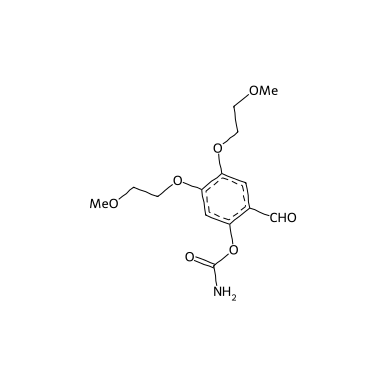 COCCOc1cc(C=O)c(OC(N)=O)cc1OCCOC